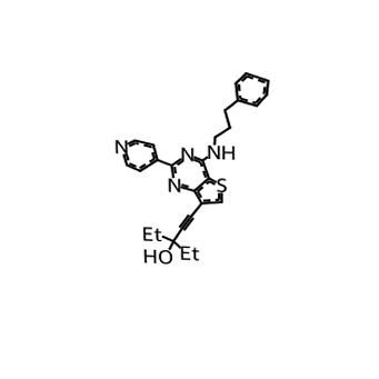 CCC(O)(C#Cc1csc2c(NCCCc3ccccc3)nc(-c3ccncc3)nc12)CC